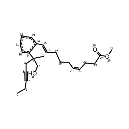 CCC#CCC(C)(CO)c1ccccc1/C=C/CCC/C=C\CCC(=O)OC